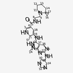 CC1NC=C(C(=O)NCCN2CCCCC23CC3)C=C1NC1NN(C)c2nc(Nc3cncnc3)ncc21